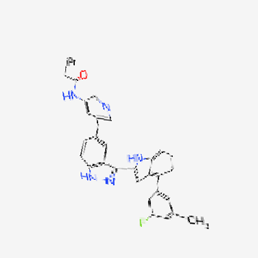 Cc1cc(F)cc(-c2cccc3[nH]c(-c4n[nH]c5ccc(-c6cncc(NC(=O)CC(C)C)c6)cc45)cc23)c1